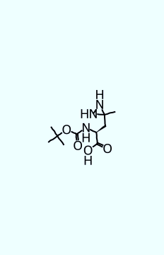 CC1(C[C@H](NC(=O)OC(C)(C)C)C(=O)O)NN1